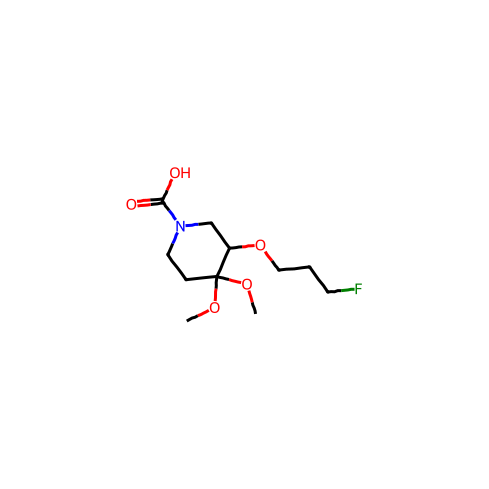 COC1(OC)CCN(C(=O)O)CC1OCCCF